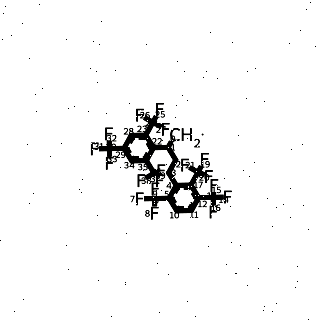 [CH2]C(CCc1c(C(F)(F)F)ccc(C(F)(F)F)c1C(F)(F)F)c1c(C(F)(F)F)cc(C(F)(F)F)cc1C(F)(F)F